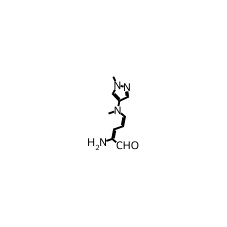 CN(/C=C\C=C(\N)C=O)c1cnn(C)c1